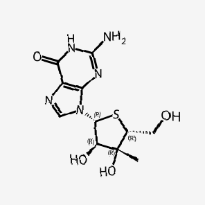 C[C@]1(O)[C@@H](CO)S[C@@H](n2cnc3c(=O)[nH]c(N)nc32)[C@@H]1O